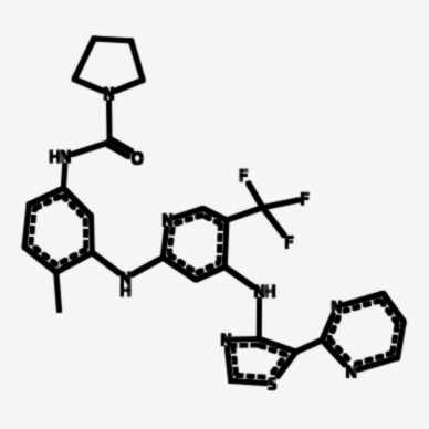 Cc1ccc(NC(=O)N2CCCC2)cc1Nc1cc(Nc2ncsc2-c2ncccn2)c(C(F)(F)F)cn1